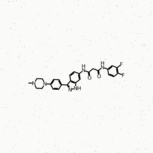 CN1CCN(c2ccc(-c3n[nH]c4cc(NC(=O)CC(=O)Nc5ccc(F)c(F)c5)ccc34)cc2)CC1